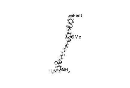 CCCCCOc1ccc(OC(=O)C=Cc2ccc(OCCCCCCCCCCCOC(=O)c3cc(N)cc(N)c3)c(OC)c2)cc1